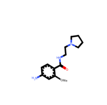 COc1cc(N)ccc1C(=O)NCCN1CCCC1